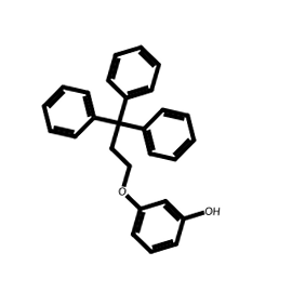 Oc1cccc(OCCC(c2ccccc2)(c2ccccc2)c2ccccc2)c1